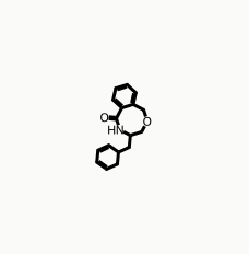 O=C1NC(CC2C=CC=CC2)COCc2ccccc21